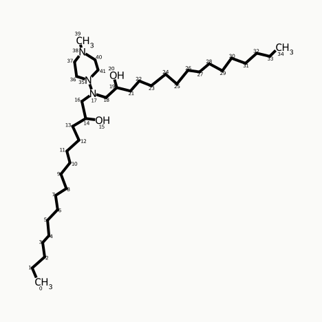 CCCCCCCCCCCCCCC(O)CN(CC(O)CCCCCCCCCCCCCC)N1CCN(C)CC1